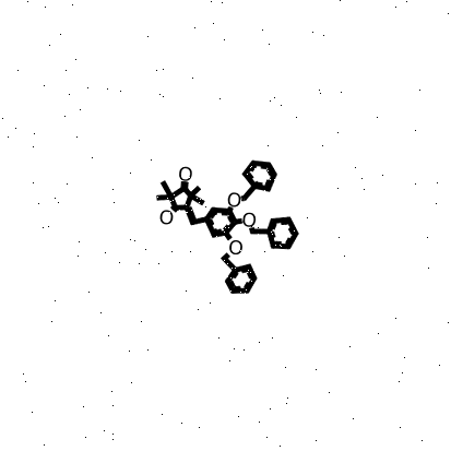 CC1(C)C(=O)C(=Cc2cc(OCc3ccccc3)c(OCc3ccccc3)c(OCc3ccccc3)c2)C(C)(C)C1=O